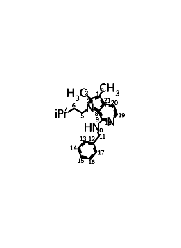 Cc1c(C)n(CCC(C)C)c2c(NCc3ccccc3)nccc12